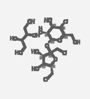 OCC(O)C(O)CO.OC[C@H]1O[C@H](O[C@]2(CCl)O[C@H](CCl)[C@@H](O)[C@@H]2O)[C@H](O)[C@@H](O)[C@H]1Cl